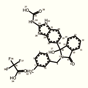 Cc1cccc(CN2C(=O)c3ccccc3C2(O)c2ccc3[nH]c(NC(=O)O)nc3c2)c1.O=C(O)C(F)(F)F